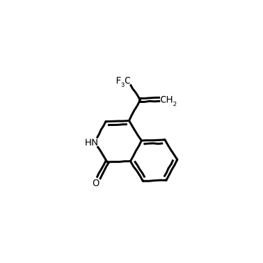 C=C(c1c[nH]c(=O)c2ccccc12)C(F)(F)F